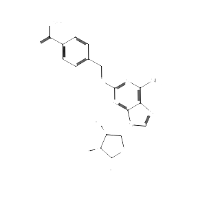 COC(=O)c1ccc(COc2nc(N)c3ncn([C@@H]4O[C@H](C)[C@@H](O)[C@H]4O)c3n2)cc1